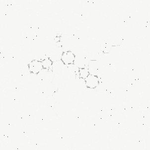 CCCCOCCn1c(-c2cccc(-c3nc4ccccc4n3CCOCCCC)n2)nc2ccccc21.[Cl-].[Cl-].[Fe+2]